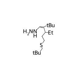 CCC(CCSCC(C)(C)C)/C(=C\NN)C(C)(C)C